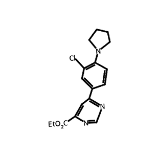 CCOC(=O)c1cc(-c2ccc(N3CCCC3)c(Cl)c2)ncn1